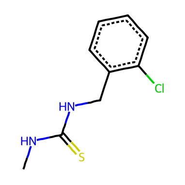 CNC(=S)NCc1ccccc1Cl